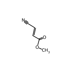 COC(=O)/C=C/C#N